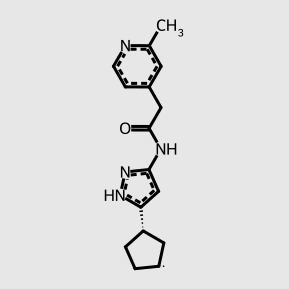 Cc1cc(CC(=O)Nc2cc([C@@H]3C[CH]CC3)[nH]n2)ccn1